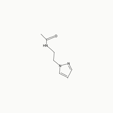 CC(=O)NCCn1c[c]cn1